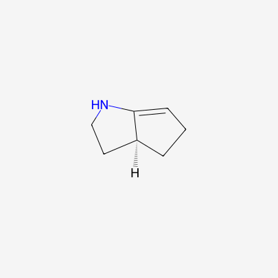 C1=C2NCC[C@@H]2CC1